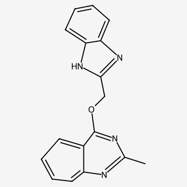 Cc1nc(OCc2nc3ccccc3[nH]2)c2ccccc2n1